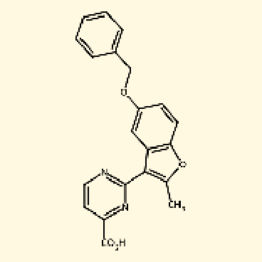 Cc1oc2ccc(OCc3ccccc3)cc2c1-c1nccc(C(=O)O)n1